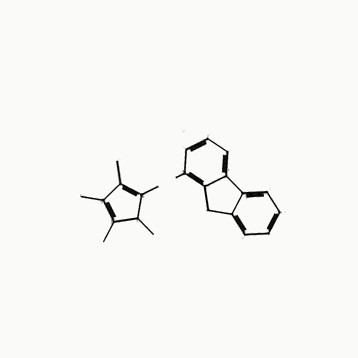 CC1=C(C)C(C)[C]([Ti+2][c]2cccc3c2Cc2ccccc2-3)=C1C.[Cl-].[Cl-]